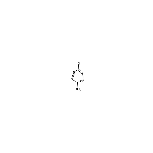 Bc1cnc(Cl)cn1